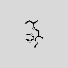 CCC(C)OCC(C)[Si](OC)(OC)OC